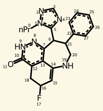 CCCn1ncnc1C1c2n[nH]c(=O)c3c2C(=CC(F)C3)NCC1c1ccccc1